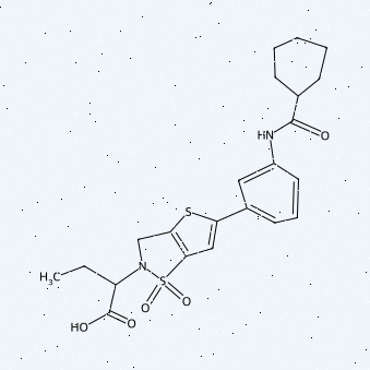 CCC(C(=O)O)N1Cc2sc(-c3cccc(NC(=O)C4CCCCC4)c3)cc2S1(=O)=O